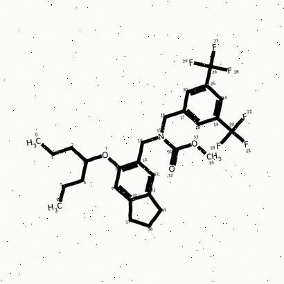 CCCC(CCC)Oc1cc2c(cc1CN(Cc1cc(C(F)(F)F)cc(C(F)(F)F)c1)C(=O)OC)CCC2